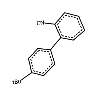 [C-]#[N+]c1ccccc1-c1ccc(C(C)(C)C)cc1